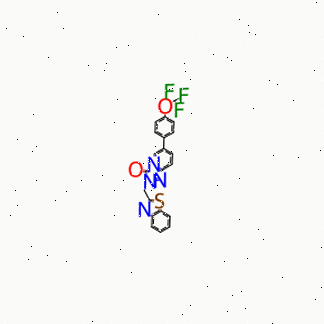 O=c1n(Cc2nc3ccccc3s2)nc2ccc(-c3ccc(OC(F)(F)F)cc3)cn12